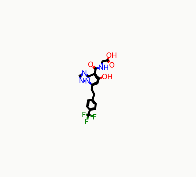 O=C(O)CNC(=O)c1c(O)cc(CCc2ccc(C(F)(F)F)cc2)n2ncnc12